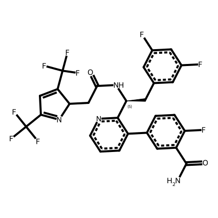 NC(=O)c1cc(-c2cccnc2[C@H](Cc2cc(F)cc(F)c2)NC(=O)CC2N=C(C(F)(F)F)C=C2C(F)(F)F)ccc1F